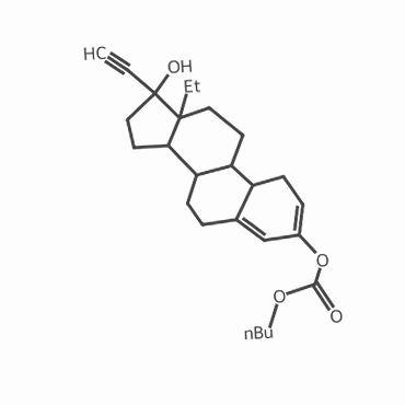 C#CC1(O)CCC2C3CCC4=CC(OC(=O)OCCCC)=CCC4C3CCC21CC